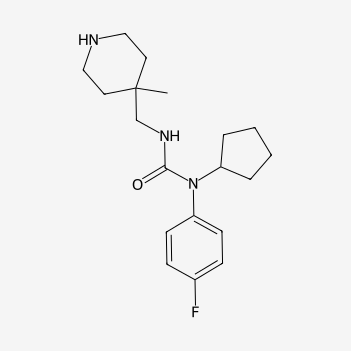 CC1(CNC(=O)N(c2ccc(F)cc2)C2CCCC2)CCNCC1